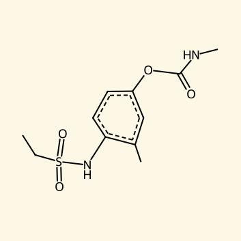 CCS(=O)(=O)Nc1ccc(OC(=O)NC)cc1C